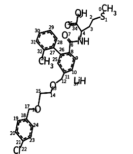 CSCCC(NC(=O)c1ccc(COCCOCc2ccc(Cl)cc2)cc1-c1ccccc1C)C(=O)O.[LiH]